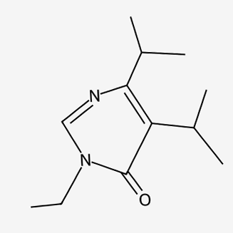 CCn1cnc(C(C)C)c(C(C)C)c1=O